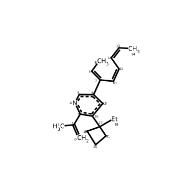 C=C(C)c1ncc(C(=CC)/C=C\C=C/C)cc1C1(CC)CCC1